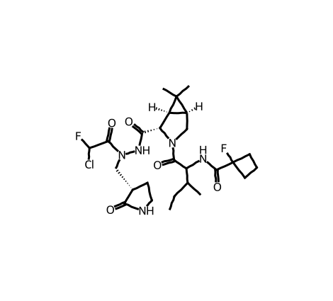 CCC(C)C(NC(=O)C1(F)CCC1)C(=O)N1C[C@H]2[C@@H]([C@H]1C(=O)NN(C[C@@H]1CCNC1=O)C(=O)C(F)Cl)C2(C)C